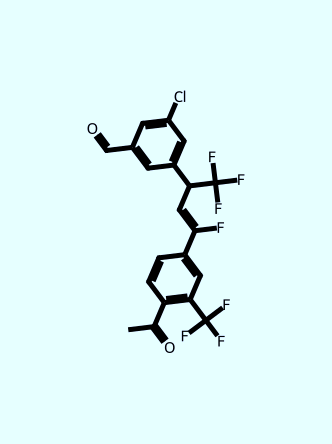 CC(=O)c1ccc(/C(F)=C/C(c2cc(Cl)cc(C=O)c2)C(F)(F)F)cc1C(F)(F)F